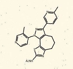 CC(=O)Nc1nc2c(s1)-c1c(c(-c3ccc(C)nc3)nn1-c1ccncc1C)CCC2